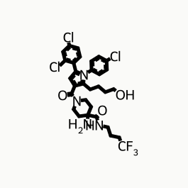 NC1(C(=O)NCCCC(F)(F)F)CCN(C(=O)c2cc(-c3ccc(Cl)cc3Cl)n(-c3ccc(Cl)cc3)c2CCCCO)CC1